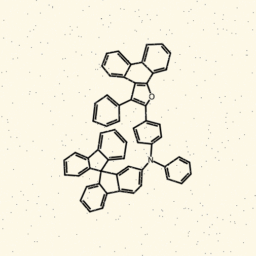 c1ccc(-c2c(-c3ccc(N(c4ccccc4)c4ccc5c(c4)C4(c6ccccc6-c6ccccc64)c4ccccc4-5)cc3)oc3c4ccccc4c4ccccc4c23)cc1